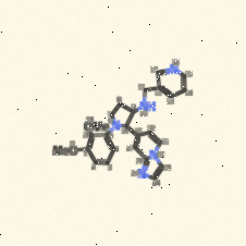 COc1cccc(N2CCC(NCc3cccnc3)C2c2ccn3ccnc3c2)c1OC